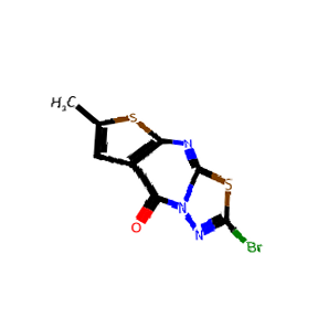 Cc1cc2c(=O)n3nc(Br)sc3nc2s1